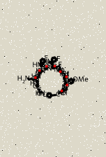 CC[C@@H]1NC(=O)[C@@H]2C[C@H](F)CN2C(=O)[C@H](Cc2c[nH]c3ccc(F)cc23)NC(=O)[C@H](Cc2c[nH]c3ccc(F)cc23)NC(=O)[C@@H](C)NC(=O)[C@H](CCCCN)NC(=O)CCC(=O)NCc2ccc(cc2)CCNC(=O)[C@]2(C)CCCN2C(=O)[C@H](Cc2ccc(OC)cc2)NC1=O